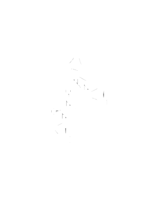 COc1cccc(N2CCN(C(=O)Cc3nc(-c4ccc(C)cc4)cn3-c3ccc(F)cc3)CC2=O)c1